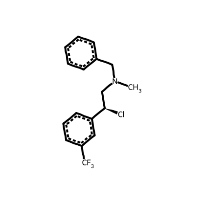 CN(Cc1ccccc1)C[C@@H](Cl)c1cccc(C(F)(F)F)c1